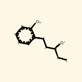 CCC(Cl)CCc1ccccc1Cl